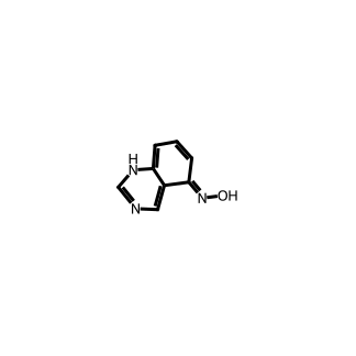 ON=c1cccc2[nH]cncc1-2